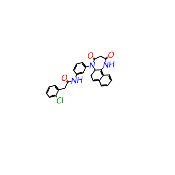 O=C1CC(=O)N(c2cccc(NC(=O)Cc3ccccc3Cl)c2)C2CC=c3ccccc3=C2N1